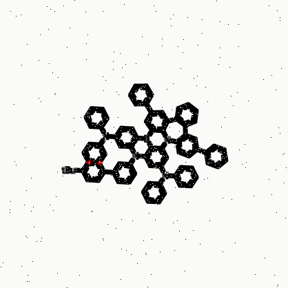 CC(C)(C)c1ccc(-c2cccc(N3c4cc(N(c5ccccc5)c5ccccc5)ccc4B4c5cc(-c6ccccc6)cc6c5N(c5ccc(-c7ccccc7)cc5-c5ccccc5-6)c5cc(N(c6ccccc6)c6ccccc6)cc3c54)c2)cc1